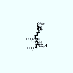 COCc1cn(CCCC[C@H](NC(=O)NC(CCC(=O)O)C(=O)O)C(=O)O)nn1